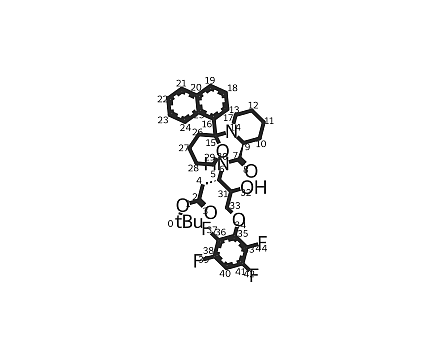 CC(C)(C)OC(=O)C[C@H](NC(=O)[C@@H]1CCCCN1C1(c2cccc3ccccc23)CCCCO1)C(O)COc1c(F)c(F)cc(F)c1F